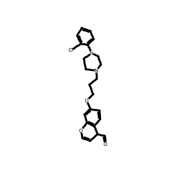 O=CC1C=COc2cc(OCCCN3CCN(c4ccccc4Cl)CC3)ccc21